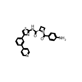 Nc1ccc(C(=O)N2CC[C@@H]2C(=O)Nc2nc(-c3cccc(-c4ccncc4)c3)cs2)cc1